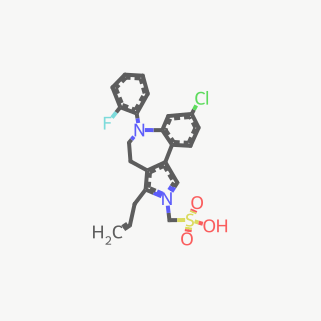 C=CCc1c2c(cn1CS(=O)(=O)O)-c1ccc(Cl)cc1N(c1ccccc1F)CC2